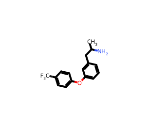 CC(N)Cc1cccc(Oc2ccc(C(F)(F)F)cc2)c1